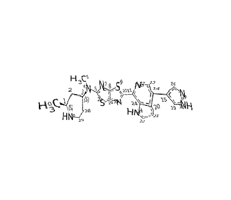 C[C@H]1C[C@@H](N(C)c2nc3sc(-c4ncc(-c5cn[nH]c5)c5cc[nH]c45)nc3s2)CCN1